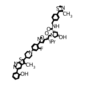 Cc1ncsc1-c1ccc(CNC(=O)[C@@H]2C[C@@H](O)CN2C(=O)[C@@H](c2cc(-c3ccc(N4CCC(c5sc6nnc(-c7ccccc7O)cc6c5C)CC4)cc3F)no2)C(C)C)cc1